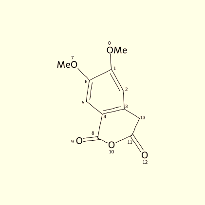 COc1cc2c(cc1OC)C(=O)OC(=O)C2